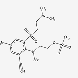 C#Cc1cc([N+](=O)[O-])cc(S(=O)(=O)CCN(C)C)c1N(CCC)CCOS(C)(=O)=O